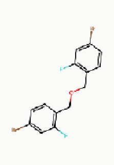 Fc1cc(Br)ccc1COCc1ccc(Br)cc1F